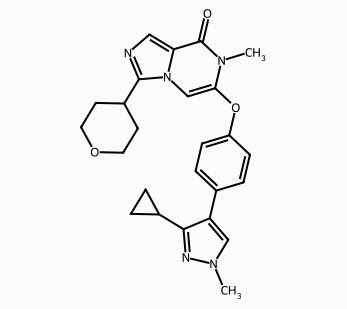 Cn1cc(-c2ccc(Oc3cn4c(C5CCOCC5)ncc4c(=O)n3C)cc2)c(C2CC2)n1